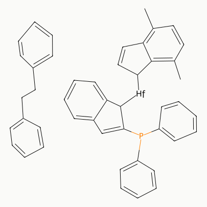 Cc1ccc(C)c2c1C=C[CH]2[Hf][CH]1C(P(c2ccccc2)c2ccccc2)=Cc2ccccc21.c1ccc(CCc2ccccc2)cc1